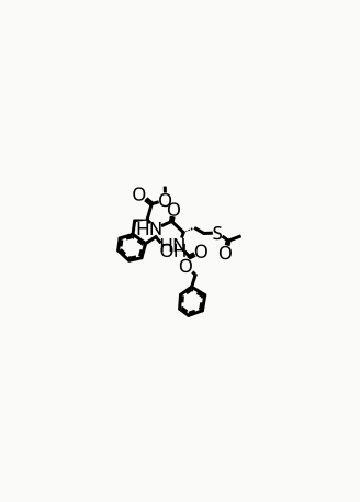 COC(=O)[C@H](Cc1ccccc1CO)NC(=O)[C@H](CCSC(C)=O)NC(=O)OCc1ccccc1